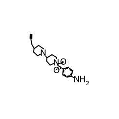 C#CCC1CCN(C2CCN(S(=O)(=O)c3ccc(N)cc3)CC2)CC1